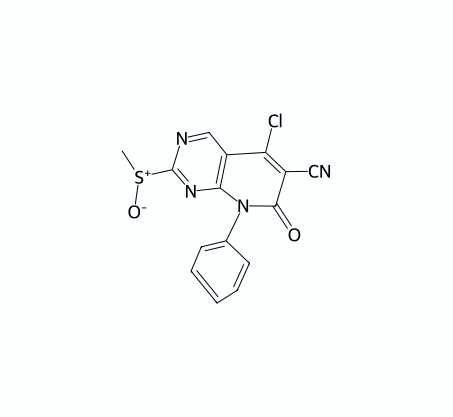 C[S+]([O-])c1ncc2c(Cl)c(C#N)c(=O)n(-c3ccccc3)c2n1